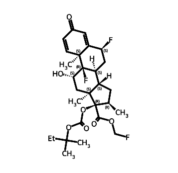 CCC(C)(C)OC(=O)O[C@]1(C(=O)OCF)[C@H](C)C[C@H]2[C@@H]3C[C@H](F)C4=CC(=O)C=C[C@]4(C)[C@@]3(F)[C@@H](O)C[C@@]21C